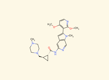 COc1ccnc(OC)c1-c1cc2cc(NC(=O)[C@@H]3C[C@H]3CN3CCN(C)CC3)ncc2n1C